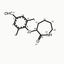 Cc1cc(C=O)cc(C)c1OC1CCCCNC1=O